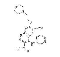 COc1cc2c(Nc3ccccc3C)c(C(N)=O)cnc2cc1OCCN1CCOCC1